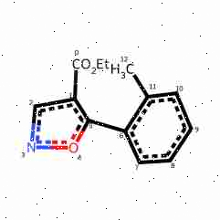 CCOC(=O)c1cnoc1-c1ccccc1C